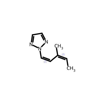 C/C=C(C)\C=C/n1nccn1